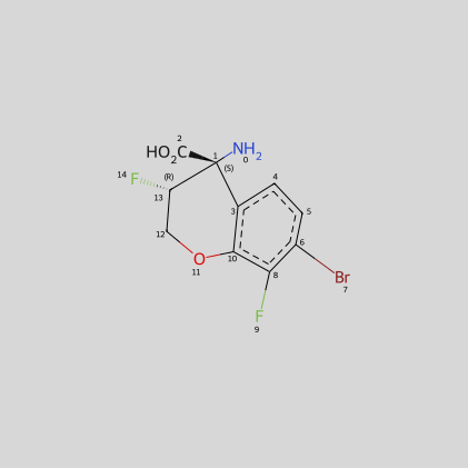 N[C@]1(C(=O)O)c2ccc(Br)c(F)c2OC[C@@H]1F